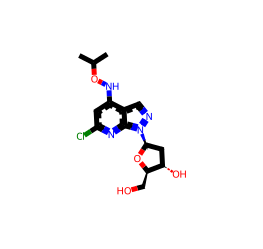 CC(C)ONc1cc(Cl)nc2c1cnn2[C@H]1C[C@H](O)[C@@H](CO)O1